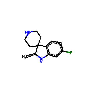 C=C1Nc2cc(F)ccc2C12CCNCC2